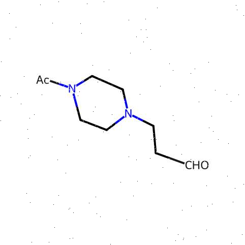 CC(=O)N1CCN(CCC=O)CC1